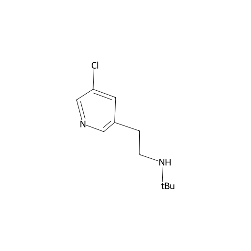 CC(C)(C)NCCc1cncc(Cl)c1